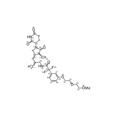 C=C(/C=C1/CN(C2CCC(=O)NC2=O)C(=O)C1=C)CNC(=O)C(F)(F)c1cccc(OCCOCCOC)c1